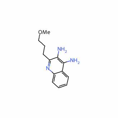 COCCCc1nc2ccccc2c(N)c1N